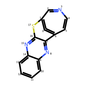 C1=C2C=NC=CC=1c1nc3ccccc3nc1S2